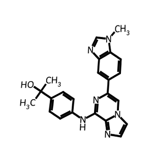 Cn1cnc2cc(-c3cn4ccnc4c(Nc4ccc(C(C)(C)O)cc4)n3)ccc21